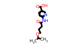 CC(C)OCCCC(=O)Nc1ccc(C(=O)O)cn1